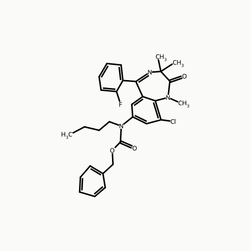 CCCCN(C(=O)OCc1ccccc1)c1cc(Cl)c2c(c1)C(c1ccccc1F)=NC(C)(C)C(=O)N2C